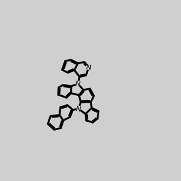 c1ccc2cc(-n3c4ccccc4c4ccc5c(c6ccccc6n5-c5cncc6ccccc56)c43)ccc2c1